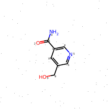 NC(=O)c1cncc(CO)c1